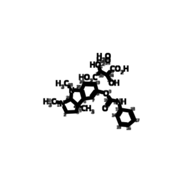 CN1CC[C@]2(C)c3cc(OC(=O)Nc4ccccc4)ccc3N(C)C12.O.O.O=C(O)C(O)C(O)C(=O)O